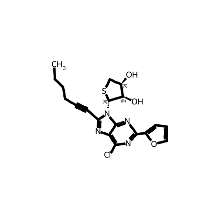 CCCCC#Cc1nc2c(Cl)nc(-c3ccco3)nc2n1[C@@H]1SC[C@@H](O)[C@H]1O